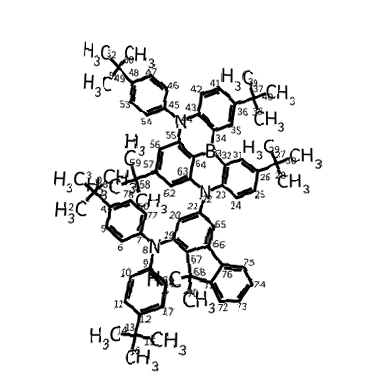 CC(C)(C)c1ccc(N(c2ccc(C(C)(C)C)cc2)c2cc(N3c4ccc(C(C)(C)C)cc4B4c5cc(C(C)(C)C)ccc5N(c5ccc(C(C)(C)C)cc5)c5cc(C(C)(C)C)cc3c54)cc3c2C(C)(C)c2ccccc2-3)cc1